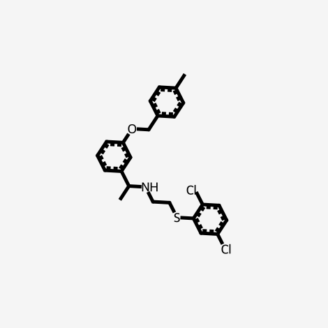 Cc1ccc(COc2cccc(C(C)NCCSc3cc(Cl)ccc3Cl)c2)cc1